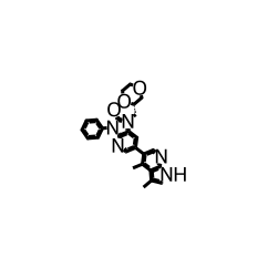 Cc1c[nH]c2ncc(-c3cnc4c(c3)n(C[C@H]3COCCO3)c(=O)n4-c3ccccc3)c(C)c12